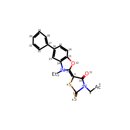 CCN1/C(=C2\SC(=S)N(CC(C)=O)C2=O)Oc2ccc(-c3ccccc3)cc21